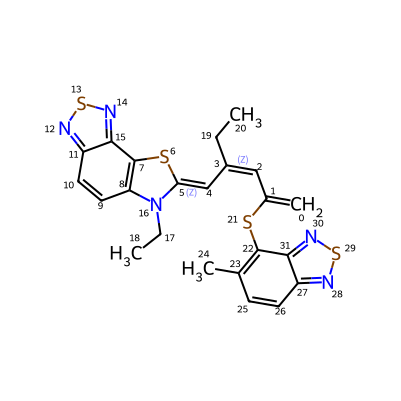 C=C(/C=C(\C=C1/Sc2c(ccc3nsnc23)N1CC)CC)Sc1c(C)ccc2nsnc12